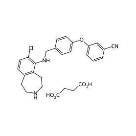 N#Cc1cccc(Oc2ccc(CNc3c(Cl)ccc4c3CCNCC4)cc2)c1.O=C(O)CCC(=O)O